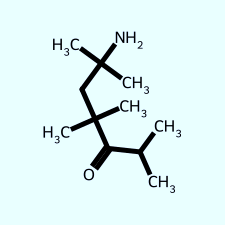 CC(C)C(=O)C(C)(C)CC(C)(C)N